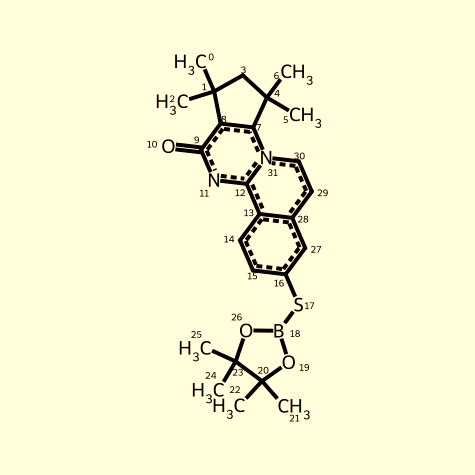 CC1(C)CC(C)(C)c2c1c(=O)nc1c3ccc(SB4OC(C)(C)C(C)(C)O4)cc3ccn21